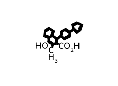 Cc1c(C(=O)O)c(-c2ccc(-c3ccccc3)cc2)c2ccccc2c1O